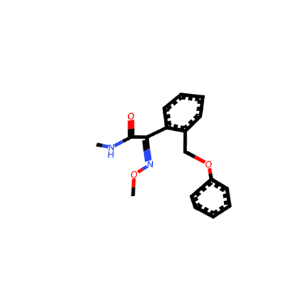 CNC(=O)C(=NOC)c1ccccc1COc1ccccc1